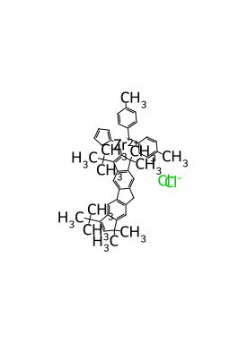 Cc1ccc([C](c2ccc(C)cc2)=[Zr+2]([C]2=CC=CC2)[C]2=C(C(C)(C)C)c3cc4c(cc3C2(C)C)Cc2cc3c(cc2-4)C(C(C)(C)C)=CC3(C)C)cc1.[Cl-].[Cl-]